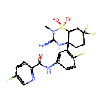 CN1C(=N)NC2(c3cc(NC(=O)c4ccc(F)cn4)ccc3F)CCC(F)(F)CC2S1(O)O